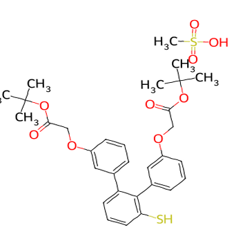 CC(C)(C)OC(=O)COc1cccc(-c2cccc(S)c2-c2cccc(OCC(=O)OC(C)(C)C)c2)c1.CS(=O)(=O)O